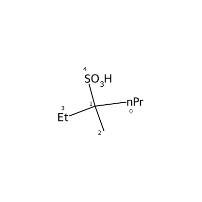 [CH2]CCC(C)(CC)S(=O)(=O)O